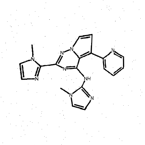 Cn1ccnc1Nc1nc(-c2nccn2C)nn2ccc(-c3ccccn3)c12